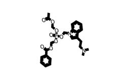 CC(=O)OCOP(=O)(OCOC(=O)c1ccccc1)OCn1cc(CCN(C)C)c2ccccc21